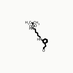 CC(C)S(=O)(=O)NCCCCCNc1cccc(CC=O)c1